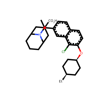 CC[C@H]1CC[C@@H](Oc2ccc3ccc(C(C)N4C5CCCC4CC(C(=O)O)C5)cc3c2Cl)CC1